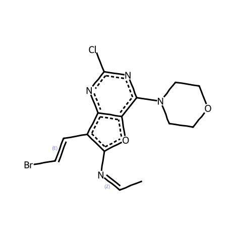 C/C=N\c1oc2c(N3CCOCC3)nc(Cl)nc2c1/C=C/Br